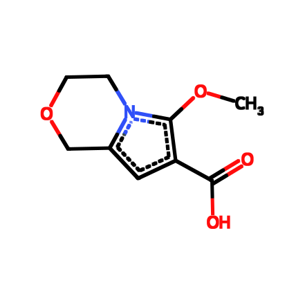 COc1c(C(=O)O)cc2n1CCOC2